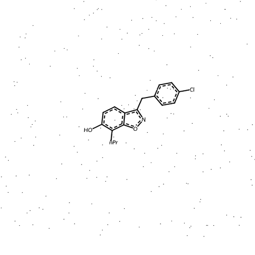 CCCc1c(O)ccc2c(Cc3ccc(Cl)cc3)noc12